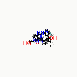 CC(O)c1cc(Nc2cc3ccn(CCO)c(=O)c3c(NC(C)(C)C)n2)ncc1F